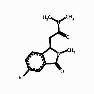 CN(C)C(=O)CC1c2ccc(Br)cc2C(=O)N1C